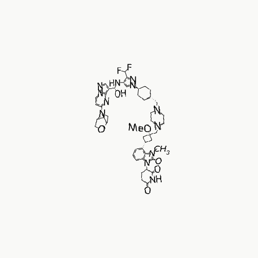 CO[C@]1(CN2CCN(C[C@H]3CC[C@H](n4cc(NC(O)c5cnn6ccc(N7CC8CC7CO8)nc56)c(C(F)F)n4)CC3)CC2)C[C@H](c2cccc3c2n(C)c(=O)n3C2CCC(=O)NC2=O)C1